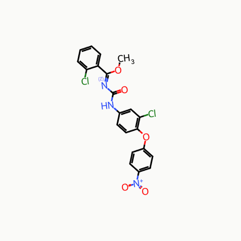 CO/C(=N\C(=O)Nc1ccc(Oc2ccc([N+](=O)[O-])cc2)c(Cl)c1)c1ccccc1Cl